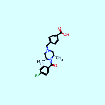 C[C@@H]1CN(Cc2ccc(C(=O)O)cc2)C[C@H](C)N1C(=O)c1ccc(Br)cc1